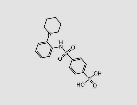 O=P(O)(O)c1ccc(S(=O)(=O)Nc2ccccc2N2CCCCC2)cc1